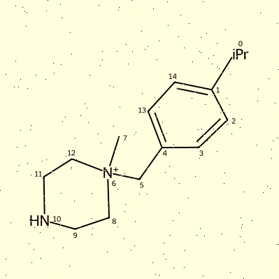 CC(C)c1ccc(C[N+]2(C)CCNCC2)cc1